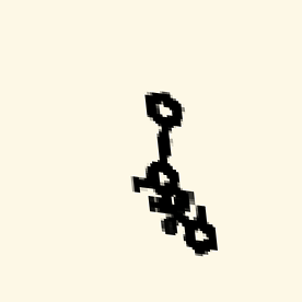 Cc1ccccc1S(=O)(=O)Nc1c(F)cc(C#Cc2ccccc2)cc1F